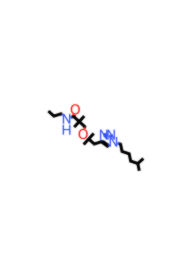 CCCNC(=O)C(C)(C)COC(C)(C)Cc1cn(CCCCC(C)C)nn1